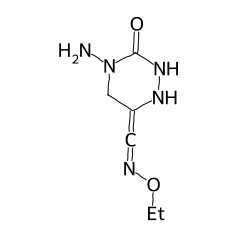 CCON=C=C1CN(N)C(=O)NN1